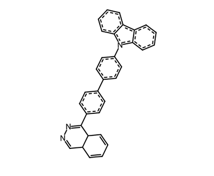 C1=CC2C=NN=C(c3ccc(-c4ccc(-n5c6ccccc6c6ccccc65)cc4)cc3)C2C=C1